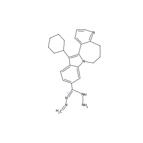 C=N/N=C(\NN)c1ccc2c(C3CCCCC3)c3n(c2c1)CCCc1ncccc1-3